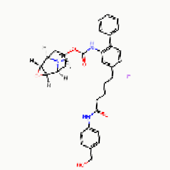 C[N+]1(C)[C@@H]2C[C@@H](OC(=O)Nc3cc(CCCCC(=O)Nc4ccc(CO)cc4)ccc3-c3ccccc3)C[C@H]1[C@@H]1O[C@@H]12.[I-]